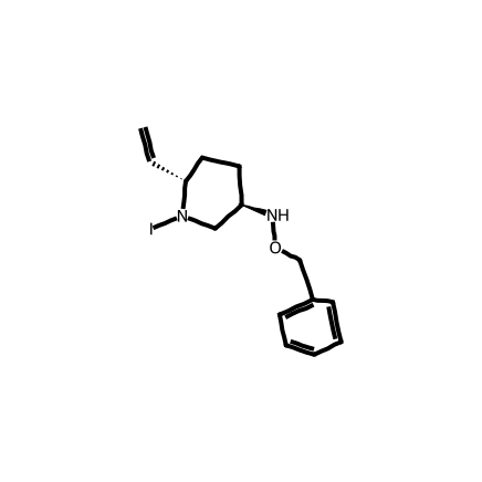 C=C[C@@H]1CC[C@@H](NOCc2ccccc2)CN1I